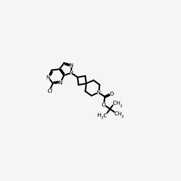 CC(C)(C)OC(=O)N1CCC2(CC1)CC(n1ncc3cnc(Cl)nc31)C2